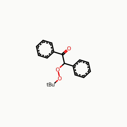 CC(C)(C)OOC(C(=O)c1ccccc1)c1ccccc1